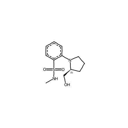 CNS(=O)(=O)c1ccccc1N1CCC[C@H]1CO